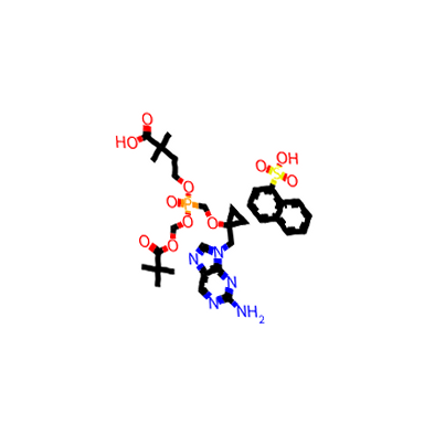 CC(C)(C)C(=O)OCOP(=O)(COC1(Cn2cnc3cnc(N)nc32)CC1)OCCC(C)(C)C(=O)O.O=S(=O)(O)c1cccc2ccccc12